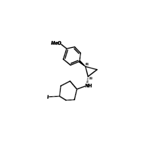 COc1ccc([C@H]2C[C@@H]2NC2CCC(I)CC2)cc1